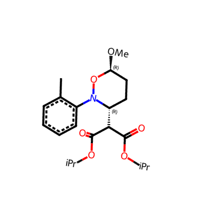 CO[C@H]1CC[C@H](C(C(=O)OC(C)C)C(=O)OC(C)C)N(c2ccccc2C)O1